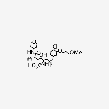 COCCCOc1cc(CC(CC(NC(=O)O)C(O)CC(C(=O)NC2CCOCC2)C(C)C)C(C)C)ccc1Cl